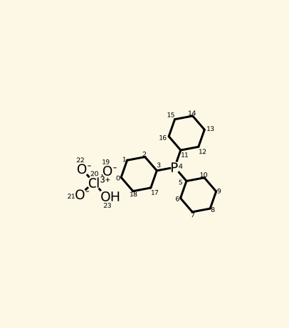 C1CCC(P(C2CCCCC2)C2CCCCC2)CC1.[O-][Cl+3]([O-])([O-])O